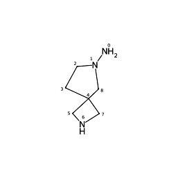 NN1CCC2(CNC2)C1